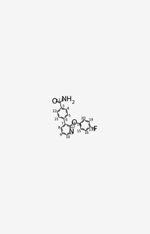 NC(=O)c1ccc(-c2cccnc2Oc2ccc(F)cc2)cc1